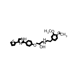 COc1ccc(CCNC[C@H](O)COc2ccc(-c3nc(-c4cccs4)c[nH]3)cc2)cc1OC